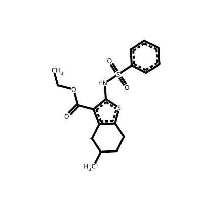 CCOC(=O)c1c(NS(=O)(=O)c2ccccc2)sc2c1CC(C)CC2